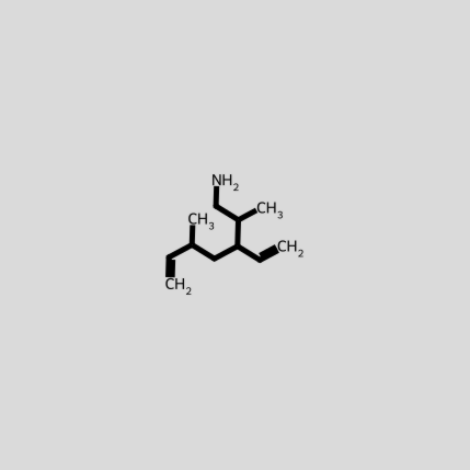 C=CC(C)CC(C=C)C(C)CN